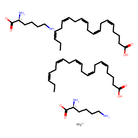 CC/C=C\C/C=C\C/C=C\C/C=C\C/C=C\CCCC(=O)O.CC/C=C\C/C=C\C/C=C\C/C=C\C/C=C\CCCC(=O)O.NCCCC[C@H](N)C(=O)[O-].NCCCC[C@H](N)C(=O)[O-].[Mg+2]